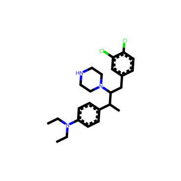 CCN(CC)c1ccc(C(C)C(Cc2ccc(Cl)c(Cl)c2)N2CCNCC2)cc1